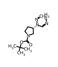 C=NN(/C=N\C)[C@H]1CCN(C(=O)OC(C)(C)C)C1